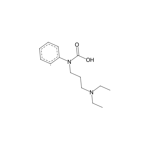 CCN(CC)CCCN(C(=O)O)c1[c]cccc1